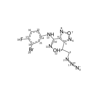 [N-]=[N+]=NCCc1nonc1C(=NO)Nc1ccc(F)c(Br)c1